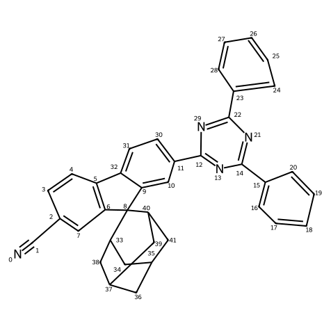 N#Cc1ccc2c(c1)C1(c3cc(-c4nc(-c5ccccc5)nc(-c5ccccc5)n4)ccc3-2)C2CC3CC(C2)CC1C3